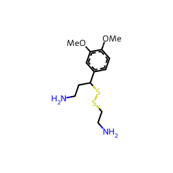 COc1ccc(C(CCN)SSCCN)cc1OC